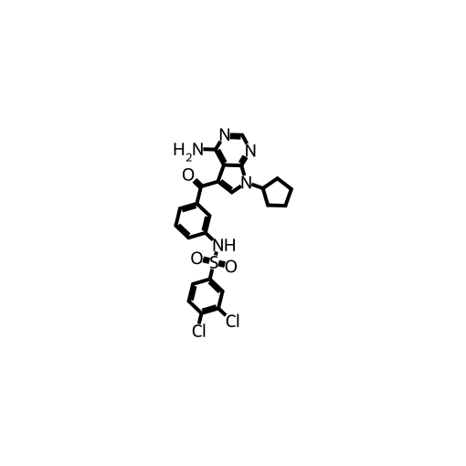 Nc1ncnc2c1c(C(=O)c1cccc(NS(=O)(=O)c3ccc(Cl)c(Cl)c3)c1)cn2C1CCCC1